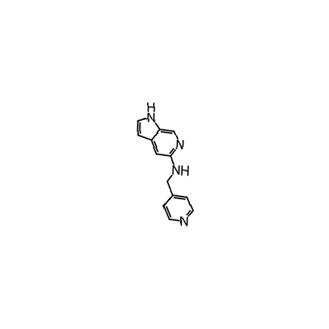 c1cc(CNc2cc3cc[nH]c3cn2)ccn1